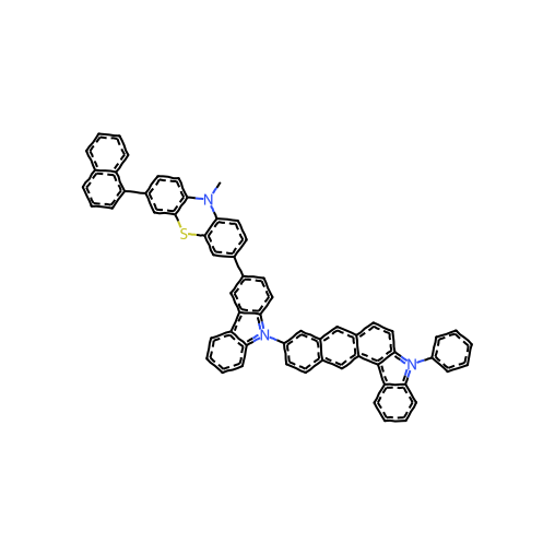 CN1c2ccc(-c3ccc4c(c3)c3ccccc3n4-c3ccc4cc5c(ccc6c5c5ccccc5n6-c5ccccc5)cc4c3)cc2Sc2cc(-c3cccc4ccccc34)ccc21